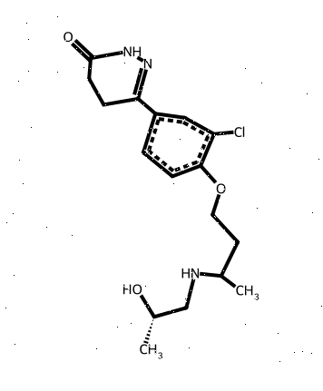 CC(CCOc1ccc(C2=NNC(=O)CC2)cc1Cl)NC[C@H](C)O